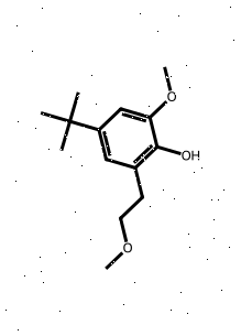 COCCc1cc(C(C)(C)C)cc(OC)c1O